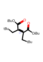 CC(C)COC(=O)/C(CC(C)(C)C)=C(/CC(C)(C)C)C(=O)OCC(C)C